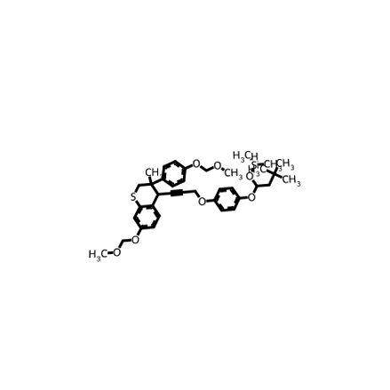 COCOc1ccc(C2(C)CSc3cc(OCOC)ccc3C2C#CCOc2ccc(OC(CC(C)(C)C)O[SiH](C)C)cc2)cc1